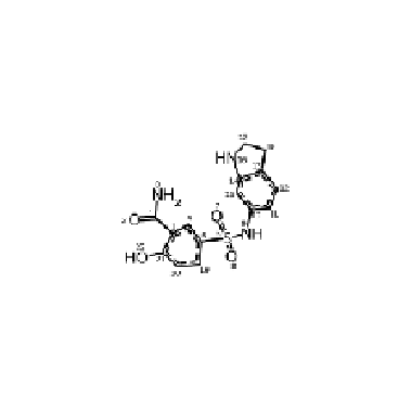 NC(=O)c1cc(S(=O)(=O)Nc2ccc3c(c2)NCC3)ccc1O